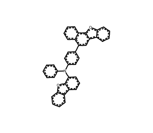 c1ccc(N(c2ccc(-c3cc4c5ccccc5oc4c4ccccc34)cc2)c2cccc3c2oc2ccccc23)cc1